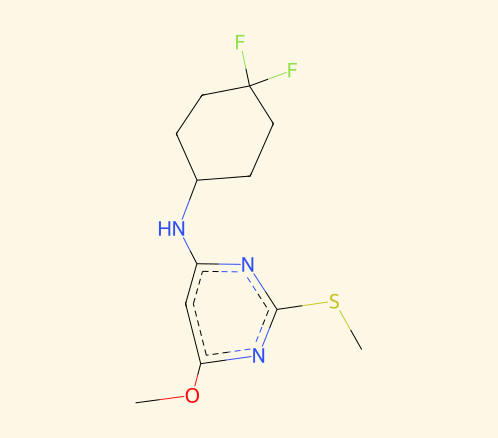 COc1cc(NC2CCC(F)(F)CC2)nc(SC)n1